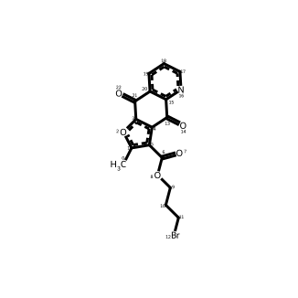 Cc1oc2c(c1C(=O)OCCCBr)C(=O)c1ncccc1C2=O